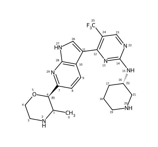 CC1NCCO[C@H]1c1ccc2c(-c3nc(N[C@H]4CCCNC4)ncc3C(F)(F)F)c[nH]c2n1